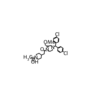 COC[C@H]1CN(C(c2ccc(Cl)cc2)c2ccc(Cl)cc2)CCN1C(=O)CC1CCN(B(C)O)CC1